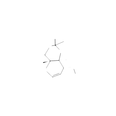 CO[C@@H]1C=CO[C@@H]2COC(C)(C)O[C@@H]12